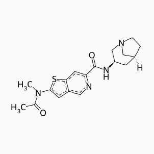 CC(=O)N(C)c1cc2cnc(C(=O)N[C@@H]3C[C@@H]4CCN(C4)C3)cc2s1